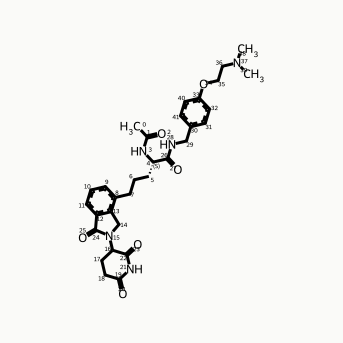 CC(=O)N[C@@H](CCCc1cccc2c1CN(C1CCC(=O)NC1=O)C2=O)C(=O)NCc1ccc(OCCN(C)C)cc1